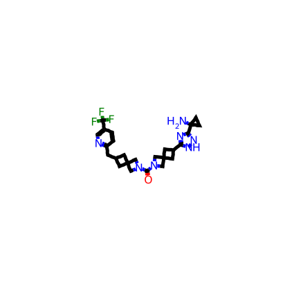 NC1(c2n[nH]c(C3CC4(C3)CN(C(=O)N3CC5(CC(Cc6ccc(C(F)(F)F)cn6)C5)C3)C4)n2)CC1